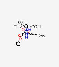 CCCCCCCCCCCCCCC(=O)N[C@@H](CCC(=O)OCc1ccccc1)C(=O)NC(CCC(=O)O)(CCC(=O)O)CCC(=O)O